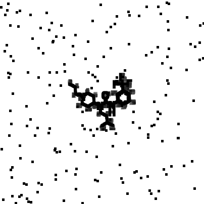 CCCN1CCC(N(CCC(C)C)C(=O)Nc2cccc(C(F)(F)F)c2)CC1